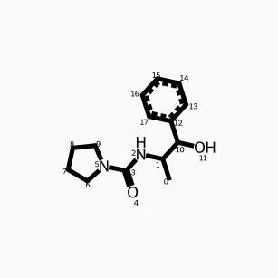 CC(NC(=O)N1CCCC1)C(O)c1ccccc1